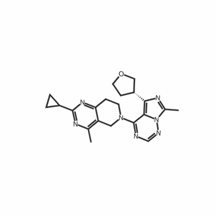 Cc1nc(C2CC2)nc2c1CN(c1ncnn3c(C)nc([C@@H]4CCOC4)c13)CC2